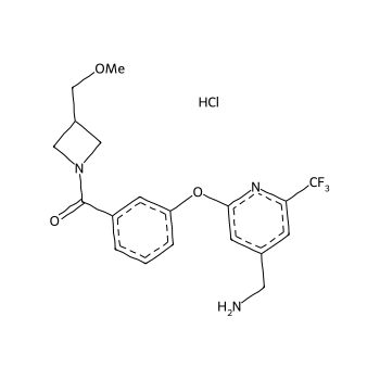 COCC1CN(C(=O)c2cccc(Oc3cc(CN)cc(C(F)(F)F)n3)c2)C1.Cl